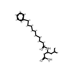 CC(C)CC(CC(=O)O)NC(=O)CCCCCCCCCc1ccccc1